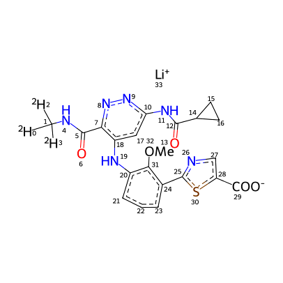 [2H]C([2H])([2H])NC(=O)c1nnc(NC(=O)C2CC2)cc1Nc1cccc(-c2ncc(C(=O)[O-])s2)c1OC.[Li+]